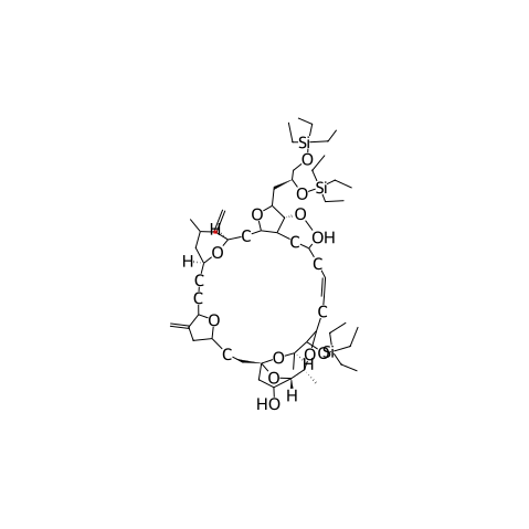 C=C1CC2CC[C@]34CC(O)[C@H](O3)[C@@H](C)OC(C/C=C/CC(O)CC3C(C[C@H]5O[C@@H](CCC1O2)CC(C)C5=C)OC(C[C@@H](CO[Si](CC)(CC)CC)O[Si](CC)(CC)CC)[C@@H]3OC)C(O[Si](CC)(CC)CC)[C@@H](C)O4